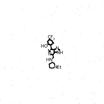 CCN1CCC[C@H](NCc2nnc(-c3ccc(C(F)(F)F)cc3O)c3nc[nH]c23)C1